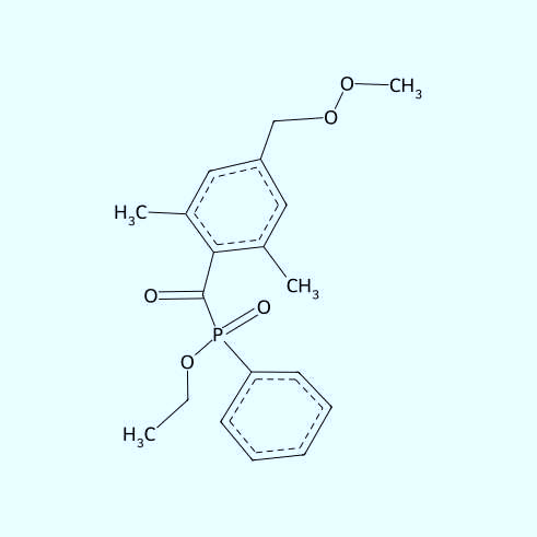 CCOP(=O)(C(=O)c1c(C)cc(COOC)cc1C)c1ccccc1